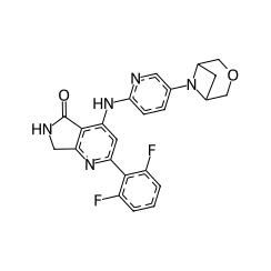 O=C1NCc2nc(-c3c(F)cccc3F)cc(Nc3ccc(N4C5COCC4C5)cn3)c21